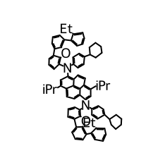 CCc1ccccc1-c1cccc2c1oc1c(N(c3ccc(C4CCCCC4)cc3)c3cc(C(C)C)c4ccc5c(N(c6ccc(C7CCCCC7)cc6)c6cccc7c6oc6c(-c8ccccc8CC)cccc67)cc(C(C)C)c6ccc3c4c65)cccc12